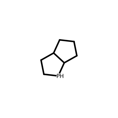 C1CC2CCPC2C1